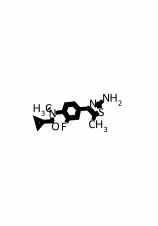 Cc1sc(N)nc1-c1ccc(N(C)C(=O)C2CC2)c(F)c1